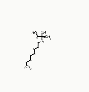 CCCCCCCCOC(C)(O)CO